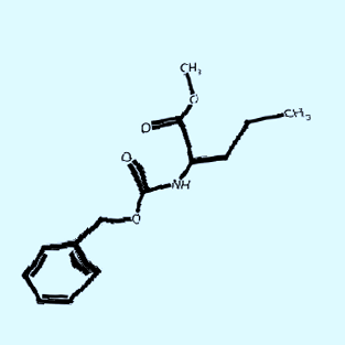 CCCC(NC(=O)OCc1ccccc1)C(=O)OC